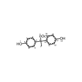 CCCCCCCCC(C)(c1ccc(O)cc1)c1ccc(O)cc1